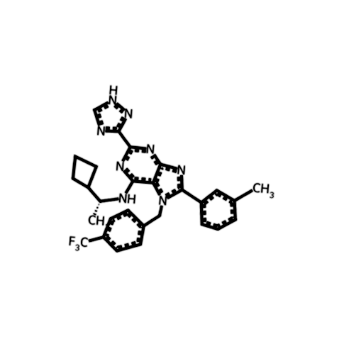 Cc1cccc(-c2nc3nc(-c4nc[nH]n4)nc(N[C@H](C)C4CCC4)c3n2Cc2ccc(C(F)(F)F)cc2)c1